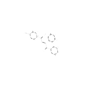 O=C(C=C(C(=O)c1ccccc1)c1ccccc1)c1ccc(Cl)cc1